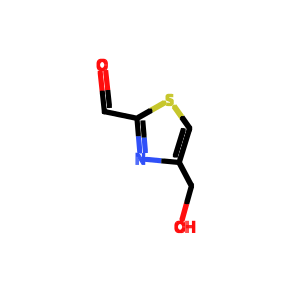 O=Cc1nc(CO)cs1